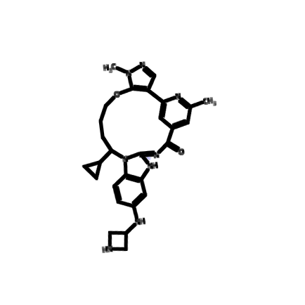 Cc1cc2cc(n1)-c1cnn(C)c1OCCCC(C1CC1)N1/C(=N/C2=O)Nc2cc(NC3CNC3)ccc21